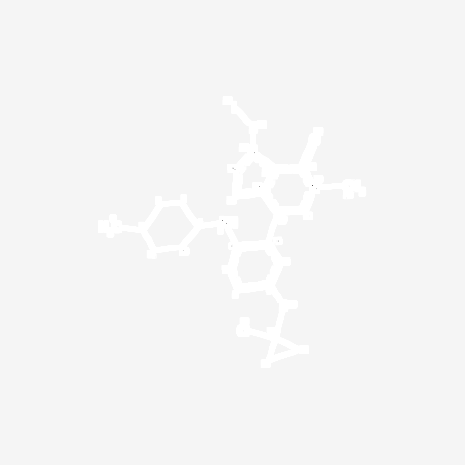 CC1CCC(Nc2ccc(SC3(Cl)CC3)cc2-c2cn(C)c(=O)c3c2ccn3SI)CC1